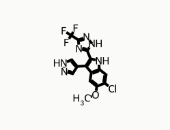 COc1cc2c(-c3cn[nH]c3)c(-c3nc(C(F)(F)F)n[nH]3)[nH]c2cc1Cl